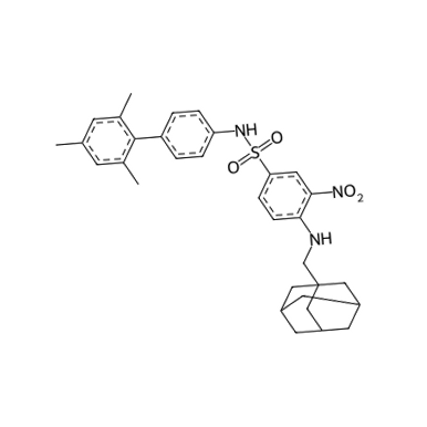 Cc1cc(C)c(-c2ccc(NS(=O)(=O)c3ccc(NCC45CC6CC(CC(C6)C4)C5)c([N+](=O)[O-])c3)cc2)c(C)c1